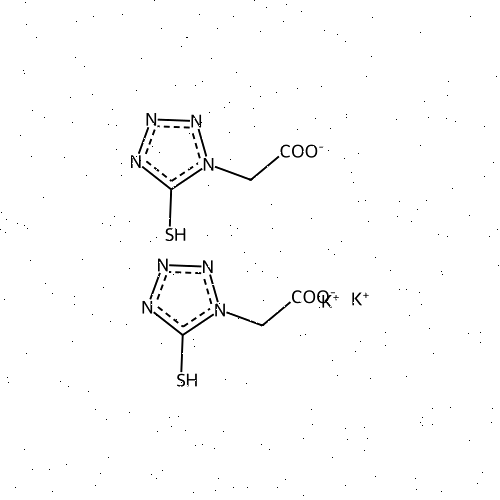 O=C([O-])Cn1nnnc1S.O=C([O-])Cn1nnnc1S.[K+].[K+]